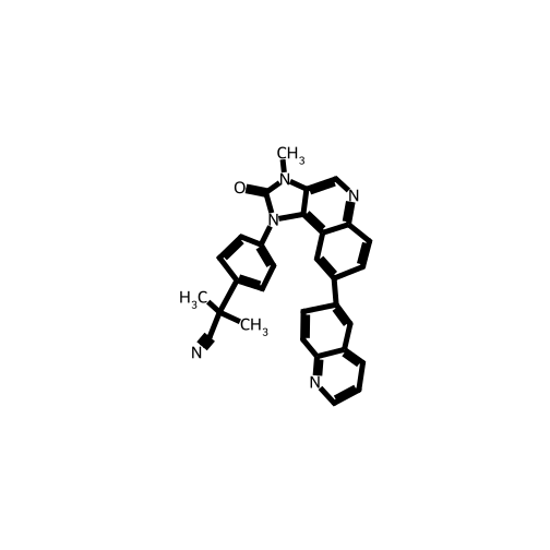 Cn1c(=O)n(-c2ccc(C(C)(C)C#N)cc2)c2c3cc(-c4ccc5ncccc5c4)ccc3ncc21